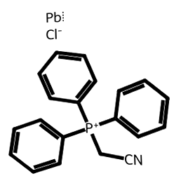 N#CC[P+](c1ccccc1)(c1ccccc1)c1ccccc1.[Cl-].[Pb]